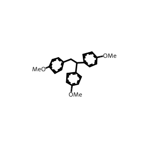 COc1ccc(CC(c2ccc(OC)cc2)c2ccc(OC)cc2)cc1